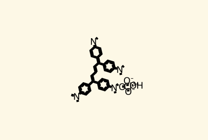 CN=C1C=CC(=C(/C=C/C=C(c2ccc(N(C)C)cc2)c2ccc(N(C)C)cc2)c2ccc(N(C)C)cc2)C=C1.[O-][Cl+3]([O-])([O-])O